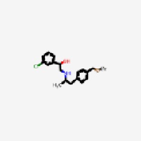 CC(Cc1ccc(CSC(C)C)cc1)NCC(O)c1cccc(Cl)c1